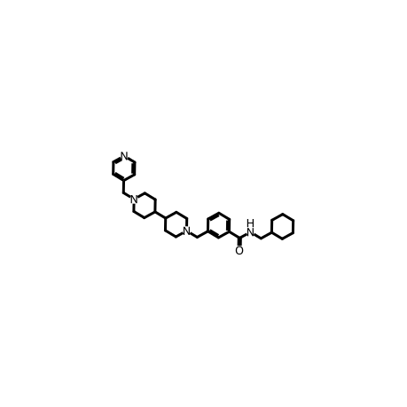 O=C(NCC1CCCCC1)c1cccc(CN2CCC(C3CCN(Cc4ccncc4)CC3)CC2)c1